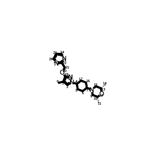 Cc1cn(C2CCC(N3C[C@@H](C)O[C@@H](C)C3)CC2)nc1OCc1ncccn1